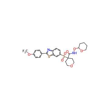 O=C(NOC1CCCCO1)C1(S(=O)(=O)c2ccc3nc(-c4ccc(OC(F)(F)F)cc4)sc3c2)CCOCC1